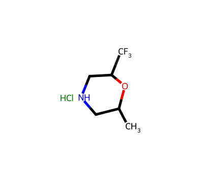 CC1CNCC(C(F)(F)F)O1.Cl